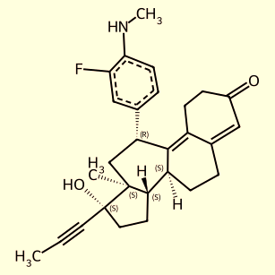 CC#C[C@]1(O)CC[C@H]2[C@@H]3CCC4=CC(=O)CCC4=C3[C@@H](c3ccc(NC)c(F)c3)C[C@@]21C